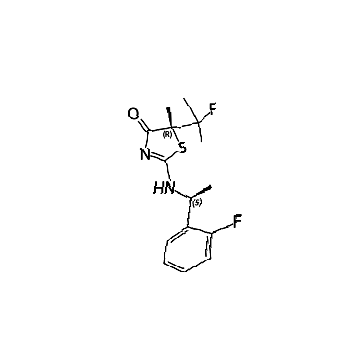 C[C@H](NC1=NC(=O)[C@](C)(C(C)(C)F)S1)c1ccccc1F